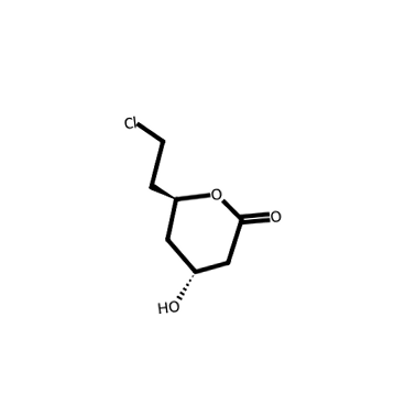 O=C1C[C@H](O)C[C@@H](CCCl)O1